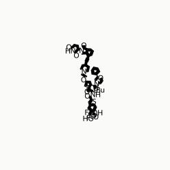 CC(C)(C)C(NC(=O)c1cc2cc(C(F)(F)P(=O)(O)O)ccc2s1)C(=O)N1C[C@@H](OCCN2CCC(C#Cc3cccc4c3CN(C3CCC(=O)NC3=O)C4=O)CC2)C[C@H]1C(=O)N1CCO[C@H](c2ccccc2)C1